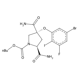 CCCCOC(=O)N1C[C@@](Oc2cc(Br)cc(F)c2I)(C(N)=O)C[C@H]1C(N)=O